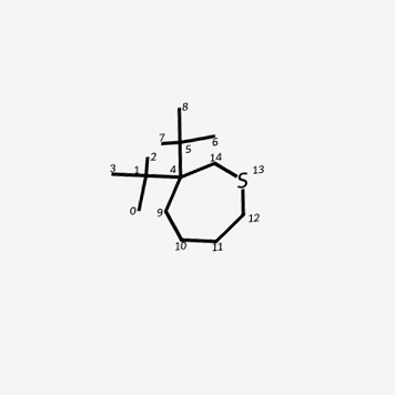 CC(C)(C)C1(C(C)(C)C)CCCCSC1